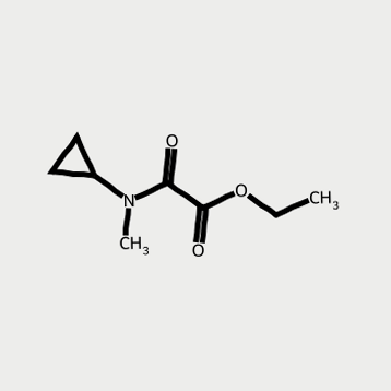 CCOC(=O)C(=O)N(C)C1CC1